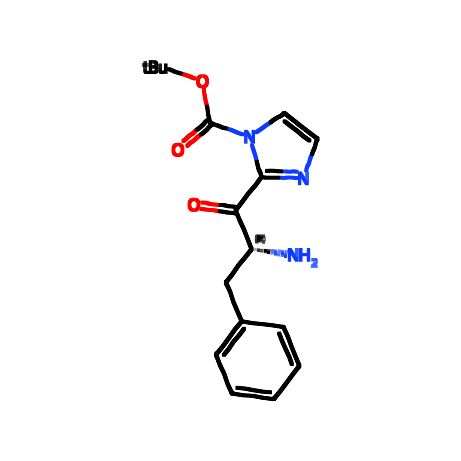 CC(C)(C)OC(=O)n1ccnc1C(=O)[C@H](N)Cc1ccccc1